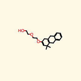 CC1(C)C=C(OCCOCCO)CC2=C1Cc1ccccc1C2